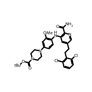 COc1cc(N2CCN(C(=O)OC(C)(C)C)CC2)ccc1Nc1cc(CCc2c(Cl)cccc2Cl)cnc1C(N)=O